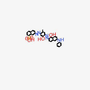 Cc1cc(N=Nc2ccc3cc(Nc4ccccc4)ccc3c2O)c(O)cc1N=Nc1ccc2cccc(S(=O)(=O)O)c2c1